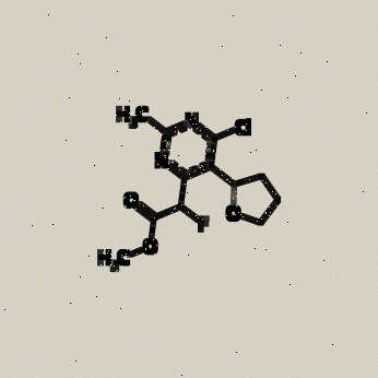 COC(=O)C(F)c1nc(C)nc(Cl)c1C1CCCO1